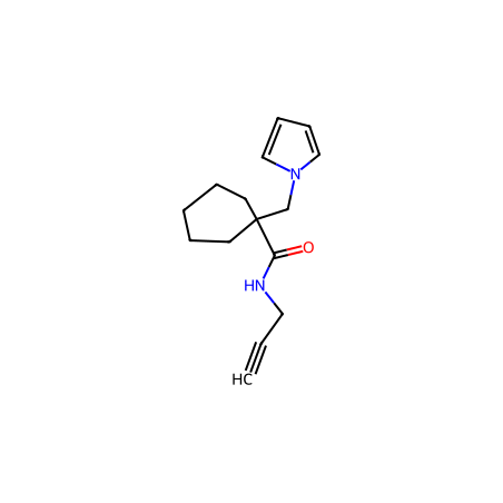 C#CCNC(=O)C1(Cn2cccc2)CCCCC1